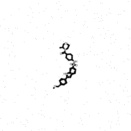 COCc1ccc(-c2cc3ccc(S(=O)(=O)NC4CCC(C(=O)N5CCOCC5C)CC4)cc3[nH]2)cc1